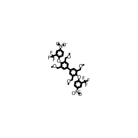 COCc1cc(-c2cc(COC)c(Oc3ccc([N+](=O)[O-])cc3C(F)(F)F)c(COC)c2)cc(COC)c1Oc1ccc([N+](=O)[O-])cc1C(F)(F)F